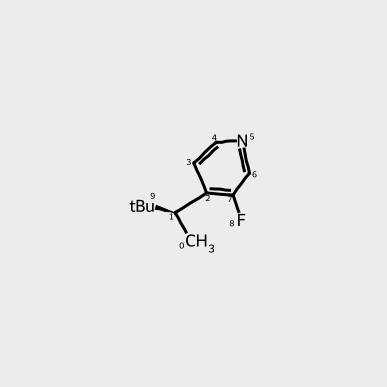 C[C@H](c1ccncc1F)C(C)(C)C